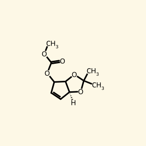 COC(=O)OC1C=C[C@@H]2OC(C)(C)OC12